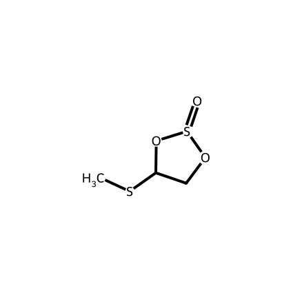 CSC1COS(=O)O1